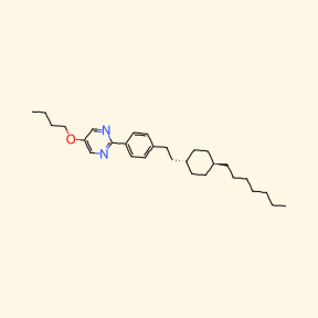 CCCCCCC[C@H]1CC[C@H](CCc2ccc(-c3ncc(OCCCC)cn3)cc2)CC1